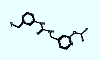 O=C(NCc1ccnc(OC(F)F)c1)Nc1cccc(CF)c1